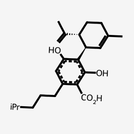 C=C(C)[C@@H]1CCC(C)=C[C@H]1c1c(O)cc(CCCC(C)C)c(C(=O)O)c1O